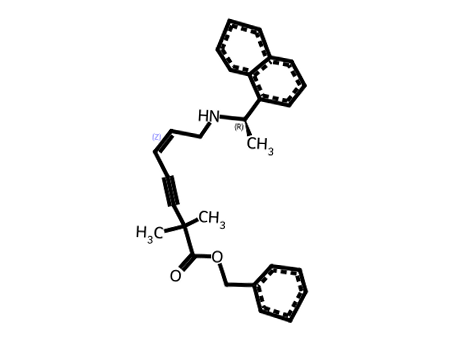 C[C@@H](NC/C=C\C#CC(C)(C)C(=O)OCc1ccccc1)c1cccc2ccccc12